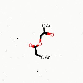 CC(=O)OCC(=O)OCC(=O)OC(C)=O